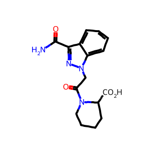 NC(=O)c1nn(CC(=O)N2CCCCC2C(=O)O)c2ccccc12